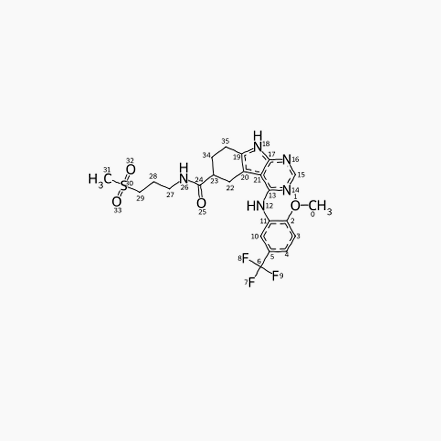 COc1ccc(C(F)(F)F)cc1Nc1ncnc2[nH]c3c(c12)CC(C(=O)NCCCS(C)(=O)=O)CC3